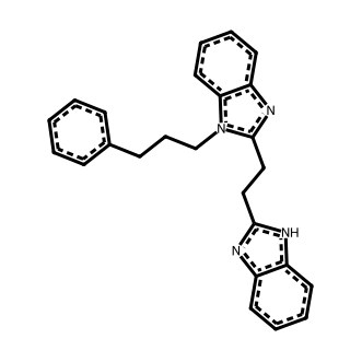 c1ccc(CCCn2c(CCc3nc4ccccc4[nH]3)nc3ccccc32)cc1